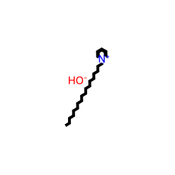 CCCCCCCCCCCCCCCCCC[n+]1ccccc1.[OH-]